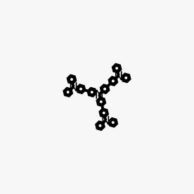 c1ccc(N(c2ccccc2)c2ccc(-c3ccc(N(c4ccc(-c5ccc(N(c6ccccc6)c6ccccc6)cc5)cc4)c4ccc(-c5ccc(N(c6ccccc6)c6ccccc6)cc5)cc4)cc3)cc2)cc1